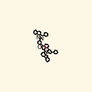 c1ccc(-c2ccc(N(c3ccc4c(c3)oc3ccc(-c5nc(-c6ccccc6)c6ccc7ccccc7c6n5)cc34)c3cccc4c3sc3ccccc34)c(-c3ccccc3)c2)cc1